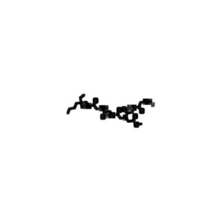 CCCCC(C)(CC)CNC(=O)CNC(=O)CNC(=O)CN(CC(=O)OC)C(=O)CNC(=O)CN